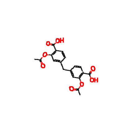 CC(=O)Oc1cc(Cc2ccc(C(=O)O)c(OC(C)=O)c2)ccc1C(=O)O